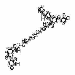 O=C1CCC(N2Cc3c(NC(=O)CCCCCNCCOCCOCCOCCNC(=O)[C@]4(Cc5cccc(Nc6nccs6)n5)CC[C@@H](Oc5cccc(Cl)c5F)CC4)cccc3C2=O)C(=O)N1